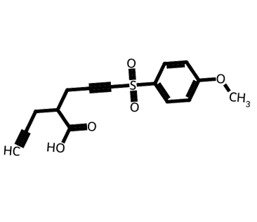 C#CCC(CC#CS(=O)(=O)c1ccc(OC)cc1)C(=O)O